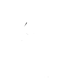 Cc1ccc([C@@H](C(=O)N2C(=O)OC[C@H]2Cc2ccccc2)[C@@H](O)c2ccc(C)cc2C)c(C)c1